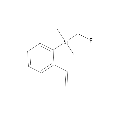 C=Cc1ccccc1[Si](C)(C)CF